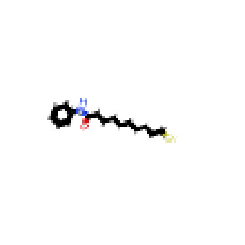 O=C(CCCCCCCCCS)Nc1ccccc1